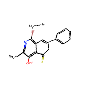 CC(C)=O.O=C(O)c1nc(Br)c2c(c1O)C(=S)CC(c1ccccc1)=C2